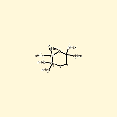 CCCCCCC1(CCCCCC)C[CH2][Sn]([CH2]CCCCC)([CH2]CCCCC)[Sn]([CH2]CCCCC)([CH2]CCCCC)[O]1